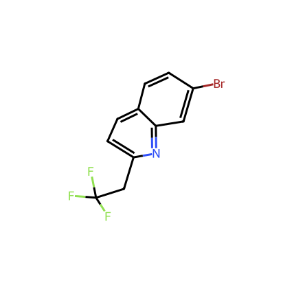 FC(F)(F)Cc1ccc2ccc(Br)cc2n1